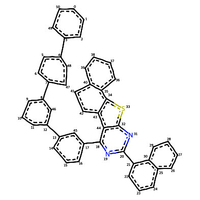 c1ccc(-c2ccc(-c3cccc(-c4cccc(-c5nc(-c6cccc7ccccc67)nc6sc7c8ccccc8ccc7c56)c4)c3)cc2)cc1